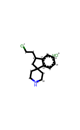 Cl.ClCCC1CC2(CCNCC2)c2ccccc21